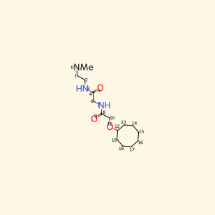 CNCCNC(=O)CNC(=O)COC1CCCCCCC1